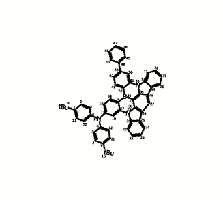 CC(C)(C)c1ccc(N(c2ccc(C(C)(C)C)cc2)c2ccc3c(c2)-n2c4ccccc4c4cc5c6ccccc6n6c5c(c42)B3c2ccc(-c3ccccc3)cc2-6)cc1